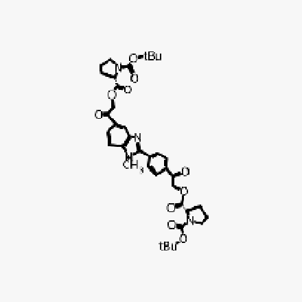 Cn1c(-c2ccc(C(=O)COC(=O)[C@@H]3CCCN3C(=O)OC(C)(C)C)cc2)nc2cc(C(=O)COC(=O)[C@@H]3CCCN3C(=O)OC(C)(C)C)ccc21